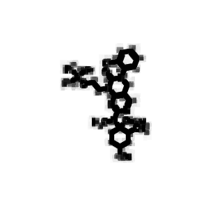 CC1CC(C(C)(C)C)CCC1(O[SiH3])N(C)c1ncc2c(n1)N(CCO[Si](C(C)C)(C(C)C)C(C)C)C(=O)N(c1ccccc1Cl)C2